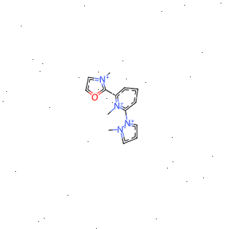 Cn1ccc[n+]1-c1cccc(-c2occ[n+]2C)[n+]1C